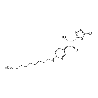 CCCCCCCCCCCCCCCCCC/N=C1C=C/C(=C2/C(=O)C(c3nnc(CC)s3)=C2O)C=N\1